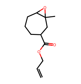 C=CCOC(=O)C1CCCC2OC2(C)C1